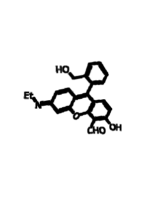 CC/N=c1\ccc2c(-c3ccccc3CO)c3ccc(O)c(C=O)c3oc-2c1